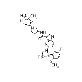 CSc1ccc(F)cc1[C@H]1C[C@H](F)CN1c1ccc2ncc(C(=O)NC3CCN(C(=O)OC(C)(C)C)C3)n2n1